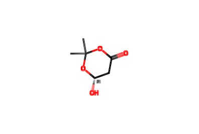 CC1(C)OC(=O)C[C@H](O)O1